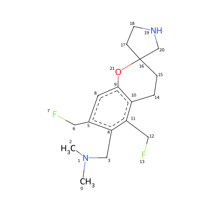 CN(C)Cc1c(CF)cc2c(c1CF)CCC1(CCNC1)O2